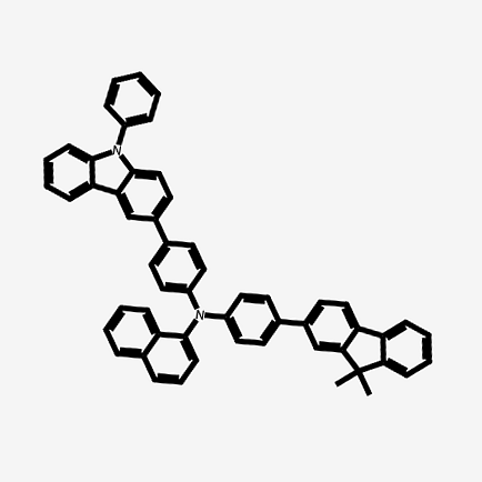 CC1(C)c2ccccc2-c2ccc(-c3ccc(N(c4ccc(-c5ccc6c(c5)c5ccccc5n6-c5ccccc5)cc4)c4cccc5ccccc45)cc3)cc21